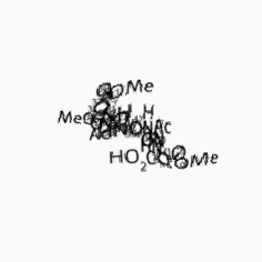 COC(=O)c1ccc(C(=O)O)c(N/N=C(/C(C)=O)C(=O)Nc2ccc(NC(=O)/C(=N\Nc3cc(C(=O)OC)ccc3C(=O)OC)C(C)=O)cc2)c1